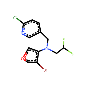 FC(F)CN(Cc1ccc(Cl)nc1)c1cocc1Br